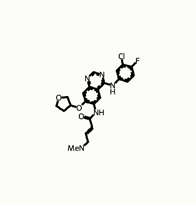 CNC/C=C/C(=O)Nc1cc2c(Nc3ccc(F)c(Cl)c3)ncnc2cc1OC1CCOC1